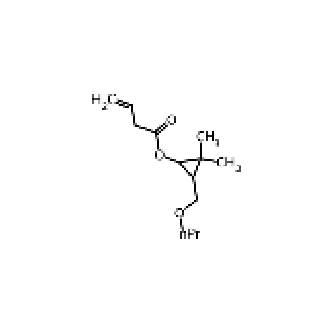 C=CCC(=O)OC1C(COCCC)C1(C)C